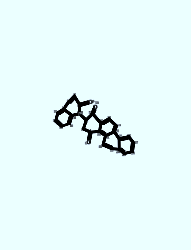 O=C1CC(n2c(=O)ccc3ccccc32)C(=O)c2ccc3c(ccc4ccccc43)c21